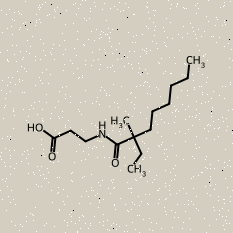 CCCCCCC(C)(CC)C(=O)NCCC(=O)O